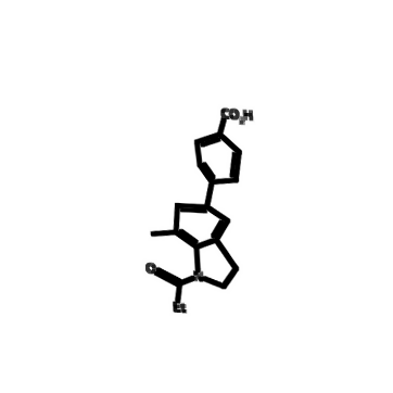 CCC(=O)N1CCc2cc(-c3ccc(C(=O)O)cc3)cc(C)c21